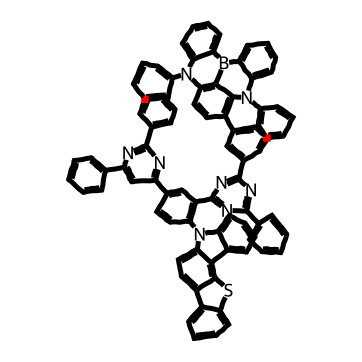 c1ccc(-c2cc(-c3ccc(-n4c5ccccc5c5c6sc7ccccc7c6ccc54)c(-c4nc(-c5ccccc5)nc(-c5cccc(-c6ccc7c8c6N(c6ccccc6)c6ccccc6B8c6ccccc6N7c6ccccc6)c5)n4)c3)nc(-c3ccccc3)n2)cc1